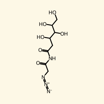 [N-]=[N+]=NCC(=O)NC(=O)CC(O)C(O)C(O)CO